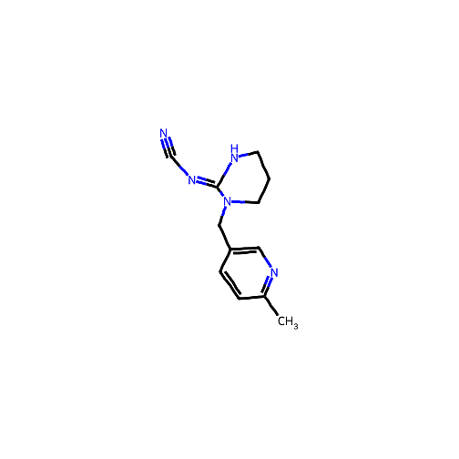 Cc1ccc(CN2CCCNC2=NC#N)cn1